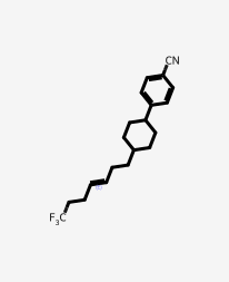 N#Cc1ccc(C2CCC(CC/C=C/CCC(F)(F)F)CC2)cc1